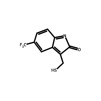 O=C1N=c2ccc(C(F)(F)F)cc2=C1CS